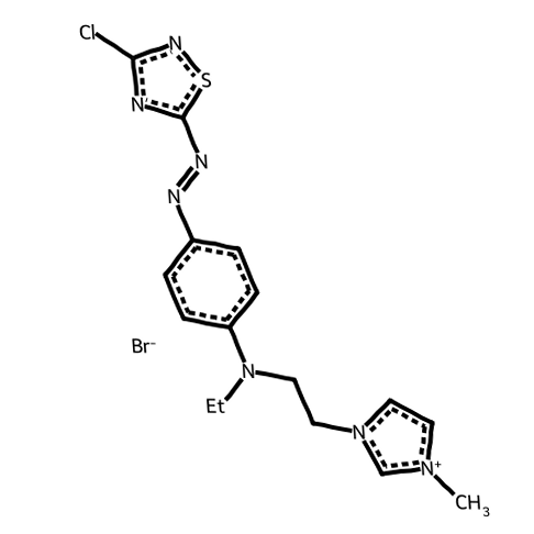 CCN(CCn1cc[n+](C)c1)c1ccc(N=Nc2nc(Cl)ns2)cc1.[Br-]